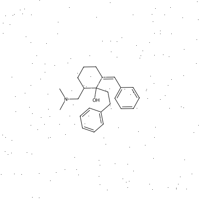 CN(C)CC1CCC/C(=C/c2ccccc2)C1(O)CCc1ccccc1